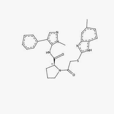 Cc1ccc2[nH]c(SCC(=O)N3CCC[C@H]3C(=O)Nc3c(-c4ccccc4)cnn3C)nc2c1